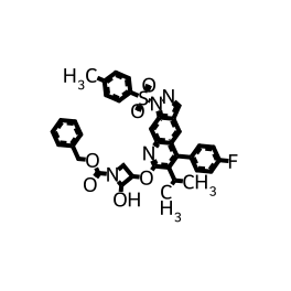 Cc1ccc(S(=O)(=O)n2ncc3cc4c(-c5ccc(F)cc5)c(C(C)C)c(OC5CN(C(=O)OCc6ccccc6)C5O)nc4cc32)cc1